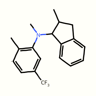 Cc1[c]cc(C(F)(F)F)cc1N(C)C1c2ccccc2CC1C